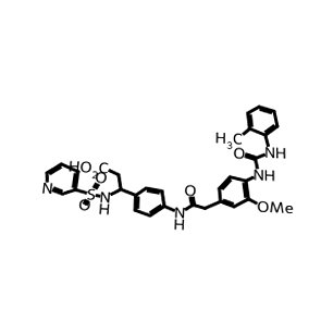 COc1cc(CC(=O)Nc2ccc(C(CC(=O)O)NS(=O)(=O)c3cccnc3)cc2)ccc1NC(=O)Nc1ccccc1C